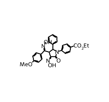 CCOC(=O)c1ccc(N2C(=O)/C(=N\O)C(/C(=N\O)c3ccc(OC)cc3)C2c2ccccc2)cc1